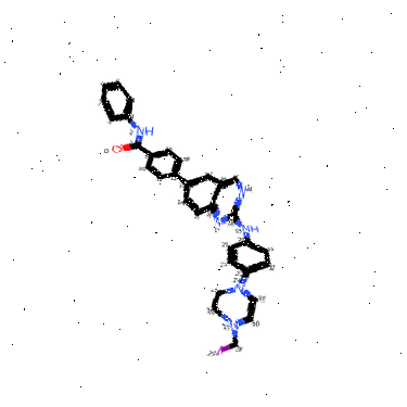 O=C(Nc1ccccc1)c1ccc(-c2ccc3nc(Nc4ccc(N5CCN(CI)CC5)cc4)ncc3c2)cc1